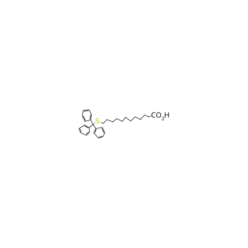 O=C(O)CCCCCCCCCCCSC(c1ccccc1)(c1ccccc1)c1ccccc1